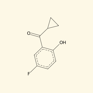 O=C(c1cc(F)ccc1O)C1CC1